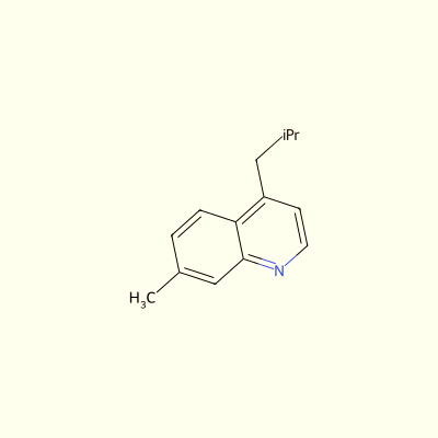 Cc1ccc2c(CC(C)C)ccnc2c1